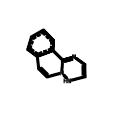 C1=CNN2C=Cc3ccccc3C2=N1